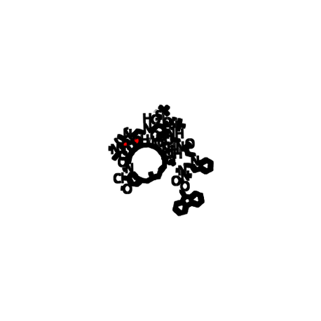 COc1cc2cc(c1Cl)N(C)C(=O)C[C@](OC(=O)C(C)N(C)C(=O)CCNC(=O)C(O[Si](C)(C)C(C)(C)C)C(O[Si](C)(C)C(C)(C)C)C(=O)NCCNC(=O)CCn1c(CN(C)N(C)C(=O)OCC3c4ccccc4-c4ccccc43)cc3ccccc31)(OC(=O)[C@H](C)N(C)C(C)=O)[C@]1(C)O[C@H]1[C@H](C)[C@@H]1C[C@@](O)(NC(=O)O1)C(OC)/C=C/C=C(\C)C2